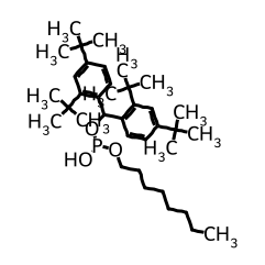 CCCCCCCCOP(O)OC(c1ccc(C(C)(C)C)cc1C(C)(C)C)c1ccc(C(C)(C)C)cc1C(C)(C)C